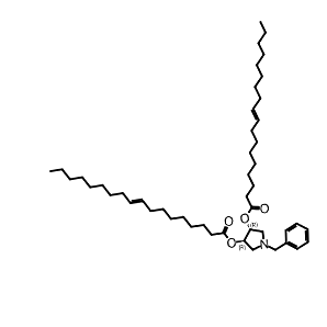 CCCCCCCCC=CCCCCCCCC(=O)O[C@@H]1CN(Cc2ccccc2)C[C@H]1OC(=O)CCCCCCCC=CCCCCCCCC